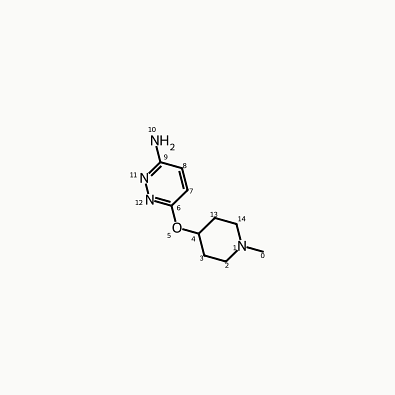 CN1CCC(Oc2ccc(N)nn2)CC1